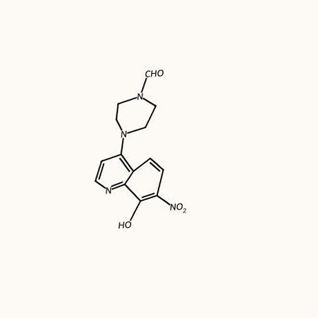 O=CN1CCN(c2ccnc3c(O)c([N+](=O)[O-])ccc23)CC1